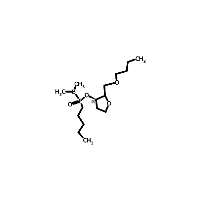 CCCCCP(=O)(O[C@@H]1CCOC1COCCCC)B(C)C